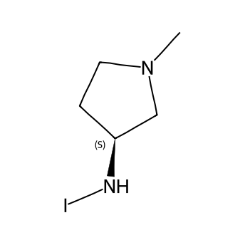 CN1CC[C@H](NI)C1